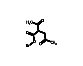 CC(=O)CC(C(C)=O)C(=O)OBr